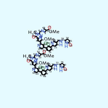 COC(=O)C1CN(Cc2nn3cc(-c4nccc(-c5cccc(-c6ccc(CNC[C@@H]7CCC(=O)N7)c(OC)n6)c5Cl)c4Cl)cc3c(=O)n2C)C1.COC(=O)C1CN(Cc2nn3cc(-c4nccc(-c5cccc(-c6ccc(CNC[C@@H]7CCC(=O)N7)c(OC)n6)c5Cl)c4Cl)cc3c(=O)n2C)C1